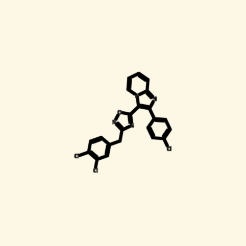 Clc1ccc(-c2nc3ccccn3c2-c2nc(Cc3ccc(Cl)c(Cl)c3)no2)cc1